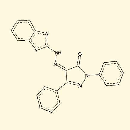 O=C1C(=NNc2nc3ccccc3s2)C(c2ccccc2)=NN1c1ccccc1